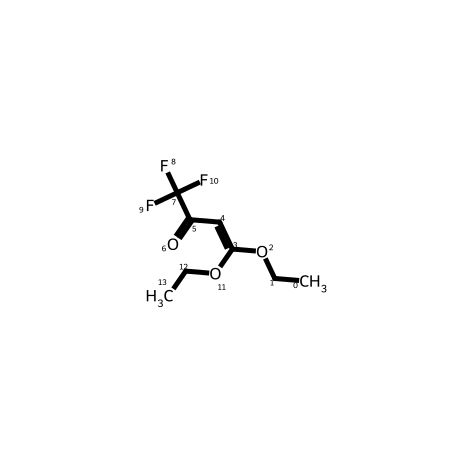 CCOC(=CC(=O)C(F)(F)F)OCC